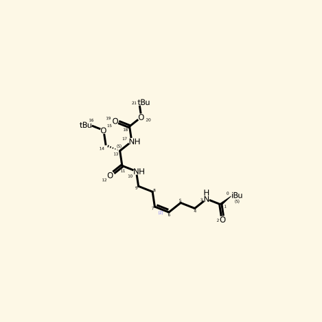 CC[C@H](C)C(=O)NCC/C=C\CCNC(=O)[C@H](COC(C)(C)C)NC(=O)OC(C)(C)C